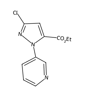 CCOC(=O)c1cc(Cl)nn1-c1cccnc1